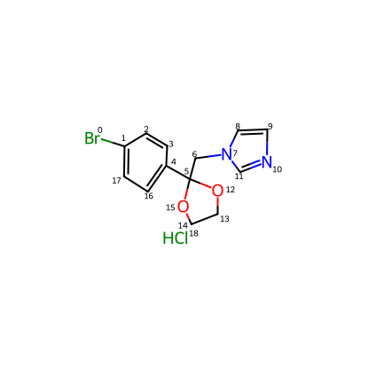 Brc1ccc(C2(Cn3ccnc3)OCCO2)cc1.Cl